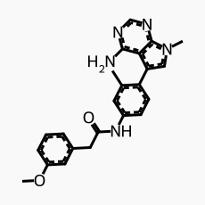 COc1cccc(CC(=O)Nc2ccc(-c3cn(C)c4ncnc(N)c34)c(C)c2)c1